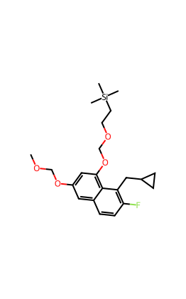 COCOc1cc(OCOCC[Si](C)(C)C)c2c(CC3CC3)c(F)ccc2c1